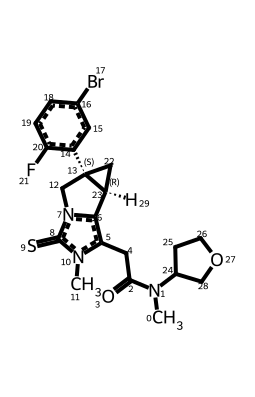 CN(C(=O)Cc1c2n(c(=S)n1C)C[C@@]1(c3cc(Br)ccc3F)C[C@@H]21)C1CCOC1